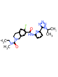 CCN(C)C(=O)N1CCc2cc(F)c(C(=O)Nc3cccc(-c4nnnn4C(C)C)n3)cc2C1